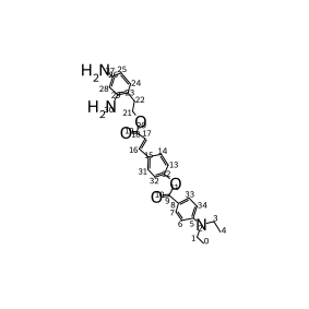 CCN(CC)c1ccc(C(=O)Oc2ccc(/C=C/C(=O)OCCc3ccc(N)cc3N)cc2)cc1